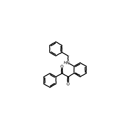 O=C(C(=O)c1ccccc1N[CH]c1ccccc1)c1ccccc1